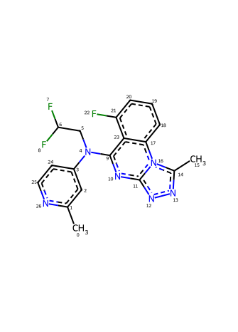 Cc1cc(N(CC(F)F)c2nc3nnc(C)n3c3cccc(F)c23)ccn1